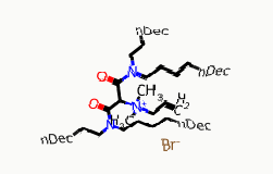 C=CC[N+](C)(C)C(C(=O)N(CCCCCCCCCCCC)CCCCCCCCCCCCCC)C(=O)N(CCCCCCCCCCCC)CCCCCCCCCCCCCC.[Br-]